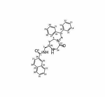 O=C(NC[C@H]1CCN(CC(c2ccccc2)c2ccccc2)C(=O)CN1)c1ccc2ccccc2c1